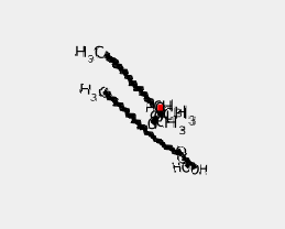 CC(=O)O.CC(=O)O.CCCCCCCCCCCCCCCCCCCC.CCCCCCCCCCCCCCCCCCCCCC(=O)OCC(O)CO